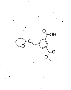 COC(=O)c1cc(COC2CCCCO2)cc(C(=O)O)c1